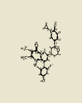 Cc1nc2c(-c3c(F)cc(Cl)cc3F)cc([C@@H]3CCO[C@H](c4ccc(=O)n(C5CC5)c4)C3)nn2c(=O)c1C